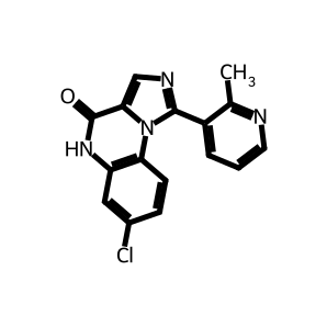 Cc1ncccc1-c1ncc2c(=O)[nH]c3cc(Cl)ccc3n12